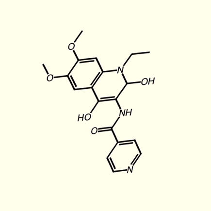 CCN1c2cc(OC)c(OC)cc2C(O)=C(NC(=O)c2ccncc2)C1O